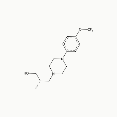 C[C@H](CO)CN1CCN(c2ccc(OC(F)(F)F)cc2)CC1